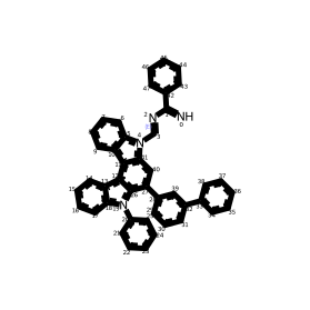 N=C(/N=C/n1c2ccccc2c2c3c4ccccc4n(-c4ccccc4)c3c(-c3cccc(-c4ccccc4)c3)cc21)c1ccccc1